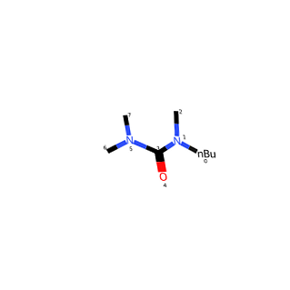 CCCCN(C)C(=O)N(C)C